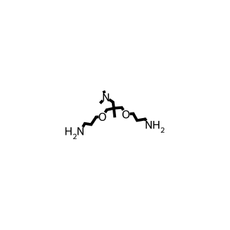 CN(C)CC(C)(COCCCN)COCCCN